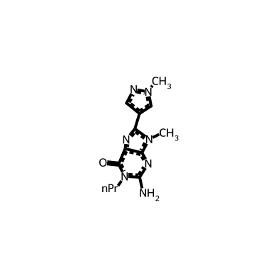 CCCn1c(N)nc2c(nc(-c3cnn(C)c3)n2C)c1=O